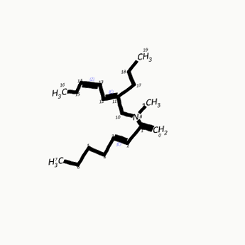 C=C(/C=C/CCCC)N(C)C/C(=C/C=C\CC)CCC